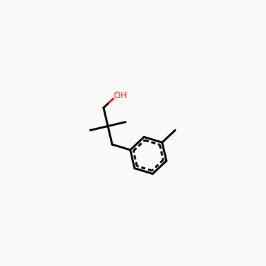 Cc1cccc(CC(C)(C)CO)c1